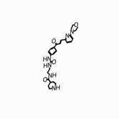 O=C(NCCNC(=O)C1CCNCC1)Nc1ccc(C(=O)C=Cc2cccc(N3CCOCC3)n2)cc1